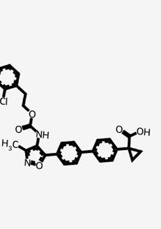 Cc1noc(-c2ccc(-c3ccc(C4(C(=O)O)CC4)cc3)cc2)c1NC(=O)OCCc1ccccc1Cl